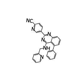 N#Cc1ccc(-c2nc(NCc3ccccn3)c3c(-c4ccccc4)cccc3n2)cn1